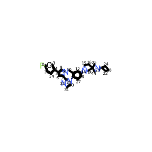 Fc1ccc(-c2cc3n(c2)Cc2cc(N4CCC5(C4)CN(C4CCC4)C5)ccc2-n2ccnc2-3)cc1